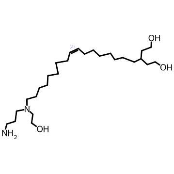 NCCCN(CCO)CCCCCCCC/C=C\CCCCCCCC(CCO)CCO